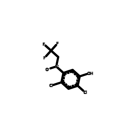 [O-][S+](CC(F)(F)F)c1cc(O)c(Cl)cc1Cl